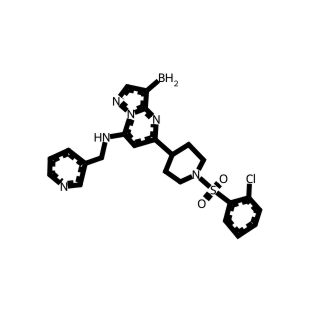 Bc1cnn2c(NCc3cccnc3)cc(C3CCN(S(=O)(=O)c4ccccc4Cl)CC3)nc12